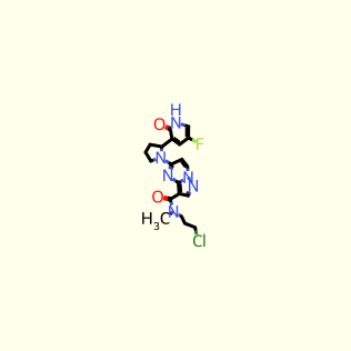 CN(CCCCl)C(=O)c1cnn2ccc(N3CCCC3c3cc(F)c[nH]c3=O)nc12